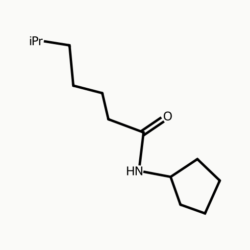 CC(C)CCCCC(=O)NC1CCCC1